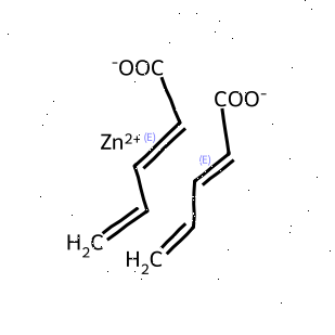 C=C/C=C/C(=O)[O-].C=C/C=C/C(=O)[O-].[Zn+2]